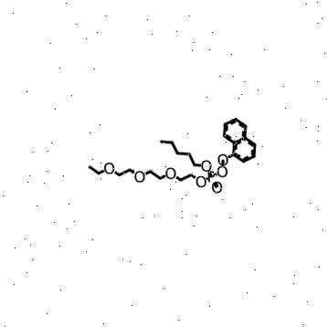 CCCCCOP(=O)(OCCOCCOCCOCC)OOc1cccc2ccccc12